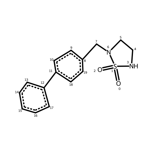 O=S1(=O)NCCN1Cc1ccc(-c2ccccc2)cc1